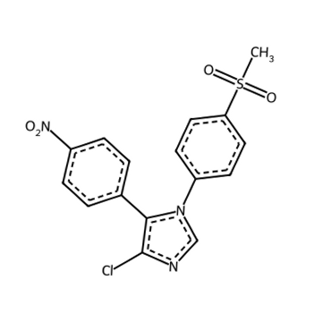 CS(=O)(=O)c1ccc(-n2cnc(Cl)c2-c2ccc([N+](=O)[O-])cc2)cc1